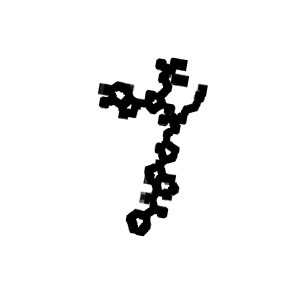 N#CCCOP(=O)(OCC1CCC(n2cnc3c(NC(=O)c4ccccc4)ncnc32)O1)O[C@H]1CC(n2cnc3c(=O)[nH]cnc32)OC1COP(=O)(O)O